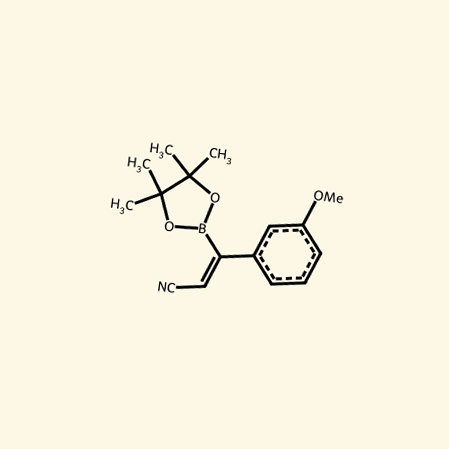 COc1cccc(C(=CC#N)B2OC(C)(C)C(C)(C)O2)c1